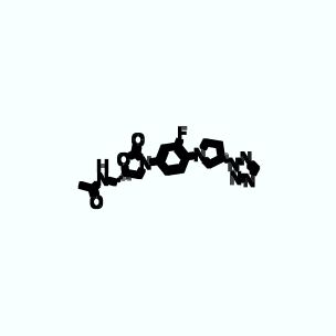 CC(=O)NC[C@H]1CN(c2ccc(N3CC[C@H](n4ncnn4)C3)c(F)c2)C(=O)O1